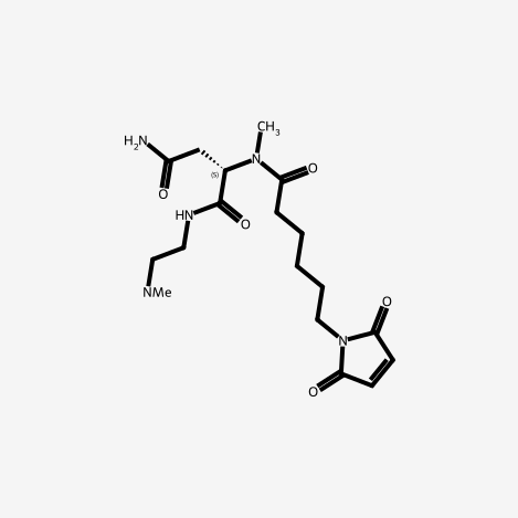 CNCCNC(=O)[C@H](CC(N)=O)N(C)C(=O)CCCCCN1C(=O)C=CC1=O